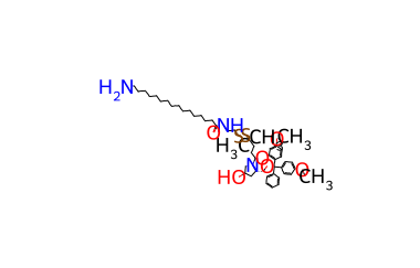 COc1ccc(C(OC[C@@H]2C[C@@H](O)CN2C(=O)CCC(C)(C)SSCCNC(=O)CCCCCCCCCCCCCCCN)(c2ccccc2)c2ccc(OC)cc2)cc1